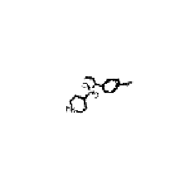 C=CC(c1ccc(F)cc1)S(=O)(=O)C1CCNCC1